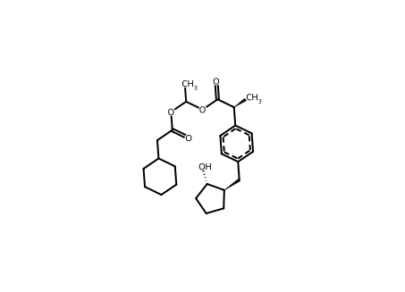 CC(OC(=O)CC1CCCCC1)OC(=O)[C@@H](C)c1ccc(C[C@H]2CCC[C@@H]2O)cc1